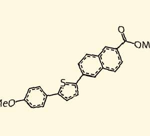 COC(=O)c1ccc2cc(-c3ccc(-c4ccc(OC)cc4)s3)ccc2c1